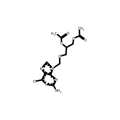 CC(=O)OCC(COCn1cnc2c(Cl)nc(N)nc21)OC(C)=O